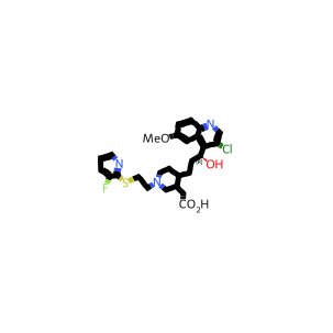 COc1ccc2ncc(Cl)c([C@H](O)CCC3CCN(CCSc4ncccc4F)CC3CC(=O)O)c2c1